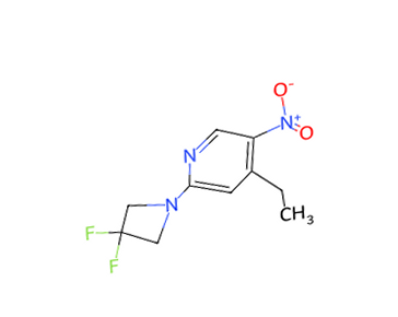 CCc1cc(N2CC(F)(F)C2)ncc1[N+](=O)[O-]